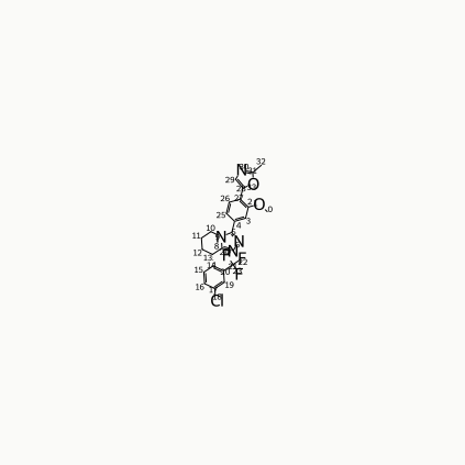 COc1cc(-c2nnc3n2CCC[C@H]3c2ccc(Cl)cc2C(F)(F)F)ccc1-c1cnc(C)o1